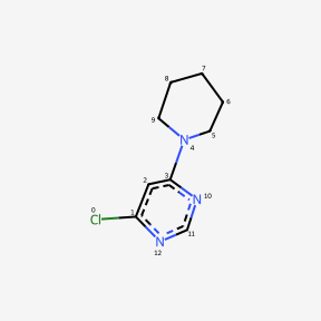 Clc1cc(N2CCCCC2)ncn1